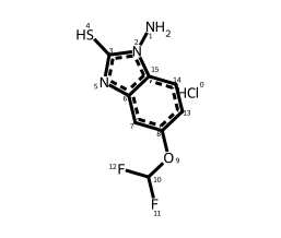 Cl.Nn1c(S)nc2cc(OC(F)F)ccc21